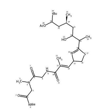 CNC(=O)CN(C)C(=O)CNC(=O)/C(C)=C/C1CSC(C(C)C(O)C[C@H](C)CC(OC(C)=O)C(C)(C)C)=N1